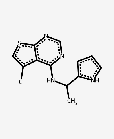 CC(Nc1ncnc2scc(Cl)c12)c1ccc[nH]1